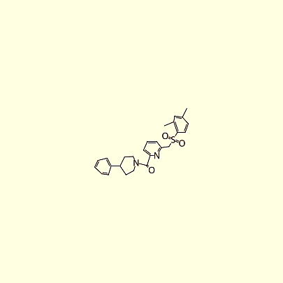 Cc1ccc(S(=O)(=O)Cc2cccc(C(=O)N3CCC(c4ccccc4)CC3)n2)c(C)c1